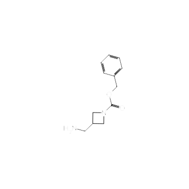 NCC1CN(C(=O)OCc2ccccc2)C1